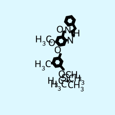 COc1cc2c(cc1OCc1cc(C)cc(CO[Si](C)(C)C(C)(C)C)c1)N=C[C@@H]1Cc3ccccc3N1C2=O